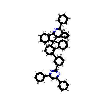 c1ccc(-c2cc(-c3ccccc3)nc(-c3cccc(-c4cccc5c4-c4ccccc4C54c5ccccc5-c5nc(-c6ccccc6)c6ccccc6c54)c3)n2)cc1